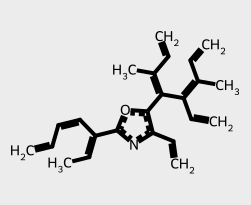 C=C/C=C\C(=C/C)c1nc(C=C)c(C(/C(C=C)=C(/C)C=C)=C(\C)C=C)o1